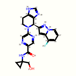 O=C(NC1(CO)CC1)c1cnc(N2CCc3[nH]cnc3[C@H]2c2cc3c(F)cccn3n2)cn1